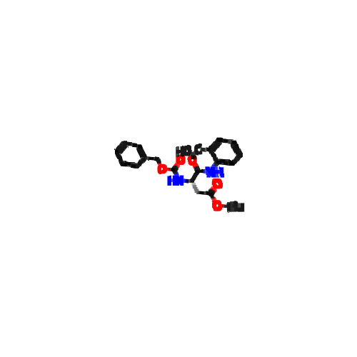 CC(C)(C)OC(=O)C[C@H](NC(=O)OCc1ccccc1)C(=O)Nc1ccccc1C(=O)O